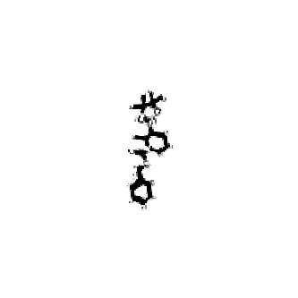 CC1C(B2OC(C)(C)C(C)(C)O2)=CCCN1C(=O)OCc1ccccc1